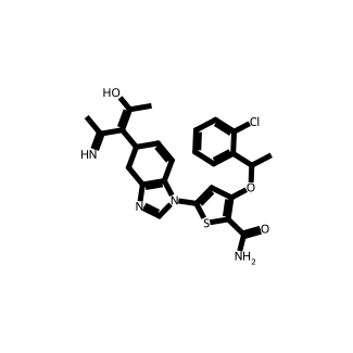 CC(=N)/C(=C(/C)O)C1C=Cc2c(ncn2-c2cc(OC(C)c3ccccc3Cl)c(C(N)=O)s2)C1